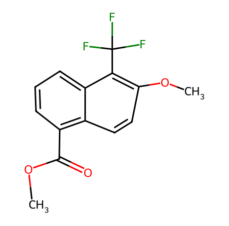 COC(=O)c1cccc2c(C(F)(F)F)c(OC)ccc12